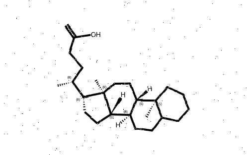 C=C(O)CC[C@@H](C)[C@H]1CC[C@H]2[C@@H]3CCC4CCCC[C@]4(C)[C@H]3CC[C@]12C